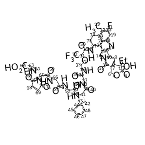 CC[C@@]1(O)C(=O)OCc2c1cc1n(c2=O)Cc2c-1nc1cc(F)c(C)c3c1c2[C@@H](NC(=O)[C@H](OCNC(=O)CNC(=O)[C@H](Cc1ccccc1)NC(=O)CNC(=O)CNC(=O)[C@@H](CNCC(=O)O)N1C(=O)C=CC1=O)C(F)(F)F)CC3